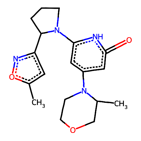 Cc1cc(C2CCCN2c2cc(N3CCOCC3C)cc(=O)[nH]2)no1